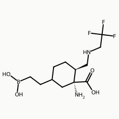 N[C@]1(C(=O)O)CC(CCB(O)O)CC[C@H]1CNCC(F)(F)F